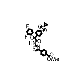 COC(=O)c1ccc(-c2csc(NC(=O)C(Oc3ccc(F)cc3F)c3ccc(S(=O)(=O)C4CC4)cc3)n2)cc1